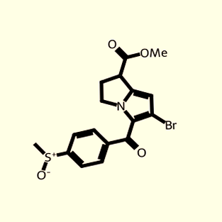 COC(=O)C1CCn2c1cc(Br)c2C(=O)c1ccc([S+](C)[O-])cc1